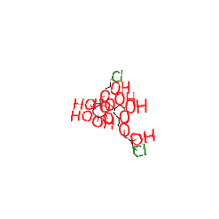 OC(CCl)COCC1OC(OC2C(COCC(O)CCl)OC(O)[C@@H](O)C2O)[C@@H](O)C(O)C1O